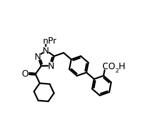 CCCn1nc(C(=O)C2CCCCC2)nc1Cc1ccc(-c2ccccc2C(=O)O)cc1